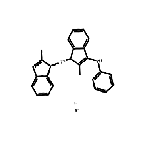 CC1=Cc2ccccc2[CH]1[Ti+2][CH]1C(C)=C(Pc2ccccc2)c2ccccc21.[F-].[F-]